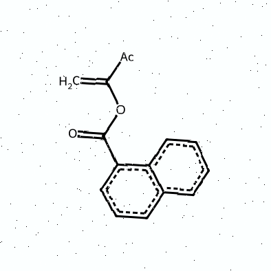 C=C(OC(=O)c1cccc2ccccc12)C(C)=O